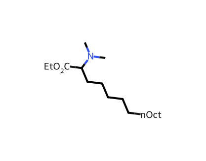 CCCCCCCCCCCCCC(C(=O)OCC)N(C)C